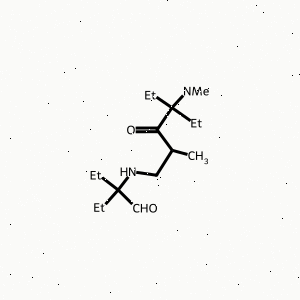 CCC(C=O)(CC)NCC(C)C(=O)C(CC)(CC)NC